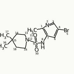 Cc1ncc(Br)cc1NS(=O)(=O)N1CCC(C)(C)CC1